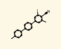 Cc1ccc(-c2ccc(-c3cc(C)c(C#N)c(I)c3)cc2)cc1